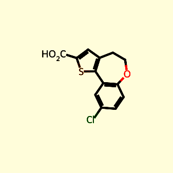 O=C(O)c1cc2c(s1)-c1cc(Cl)ccc1OCC2